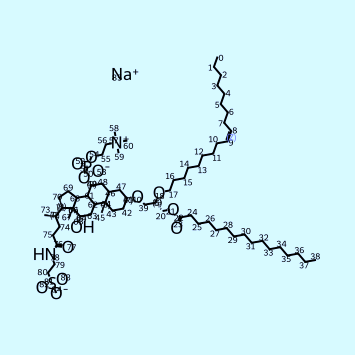 CCCCCCCC/C=C\CCCCCCCCO[C@H](COC(=O)CCCCCCCCCCCCCCC)CO[C@@H]1CC[C@@]2(C)C(C1)C[C@@H](OP(=O)([O-])OCC[N+](C)(C)C)C1C2C[C@H](O)[C@@]2(C)C1CC[C@@H]2[C@H](C)CCC(=O)NCCS(=O)(=O)[O-].[Na+]